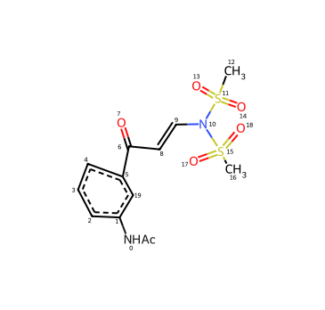 CC(=O)Nc1cccc(C(=O)/C=C/N(S(C)(=O)=O)S(C)(=O)=O)c1